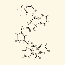 CC(C)(C)c1ccnc(-n2c3ccccc3c3ccc(Oc4cccc(-n5c[n+]6c7c(cccc75)C(C)(C)c5ccccc5-6)c4)cc32)c1